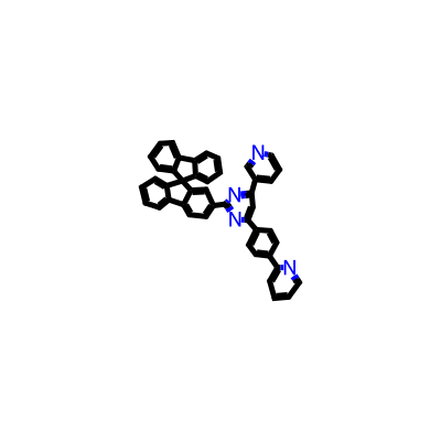 c1ccc(-c2ccc(-c3cc(-c4cccnc4)nc(-c4ccc5c(c4)C4(c6ccccc6-c6ccccc64)c4ccccc4-5)n3)cc2)nc1